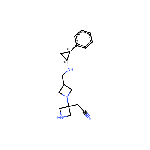 N#CCC1(N2CC(CN[C@@H]3C[C@H]3c3ccccc3)C2)CNC1